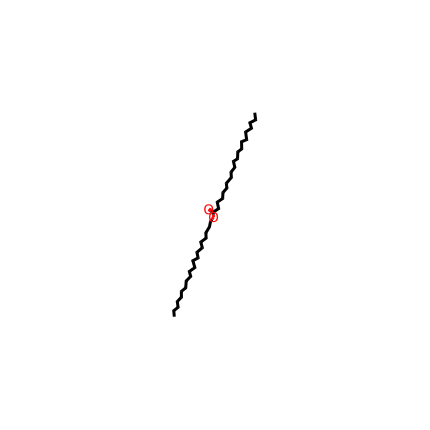 CCCCCCCCCCCCCCCCCCCCOC(=O)CCCCCCCCCCCCCCCCCCCC